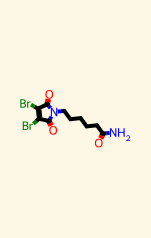 NC(=O)CCCCCN1C(=O)C(Br)=C(Br)C1=O